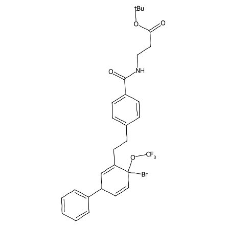 CC(C)(C)OC(=O)CCNC(=O)c1ccc(CCC2=CC(c3ccccc3)C=CC2(Br)OC(F)(F)F)cc1